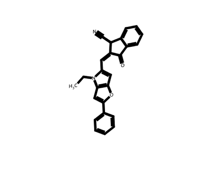 CCn1c(/C=C2\C(=O)c3ccccc3C2C#N)cc2oc(-c3ccccc3)cc21